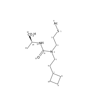 CC(=O)SCCN(CCC1CCC1)C(=O)N[C@@H](C)C(=O)O